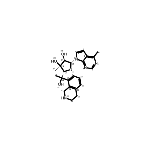 Cc1ncnc2c1ccn2[C@@H]1O[C@H](C(C)(O)c2cccc3c2CNCC3)[C@@](C)(O)[C@H]1O